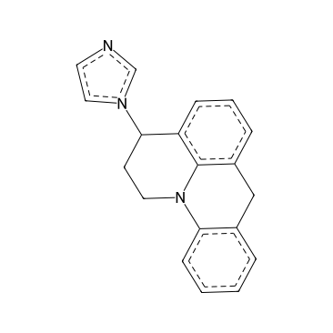 c1ccc2c(c1)Cc1cccc3c1N2CCC3n1ccnc1